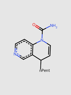 CCCCCC1C=CN(C(N)=O)c2ccncc21